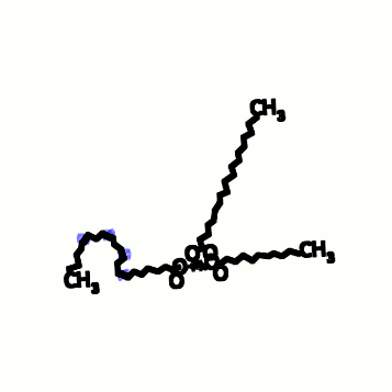 CCCCC/C=C\C/C=C\C/C=C\C/C=C\CCCCCC(=O)OC[C@@H](COC(=O)CCCCCCCCCCC)OC(=O)CCCCCCCCCCCCCCCCCCC